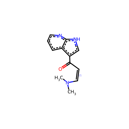 CN(C)/C=C\C(=O)c1c[nH]c2ncccc12